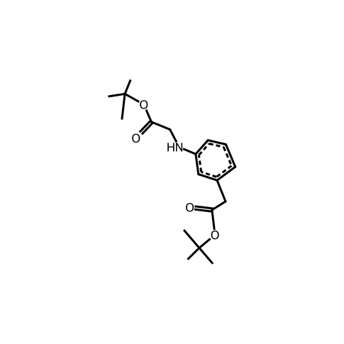 CC(C)(C)OC(=O)CNc1cccc(CC(=O)OC(C)(C)C)c1